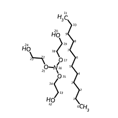 CCCCCCCCCCCC.OCCON(OCCO)OCCO